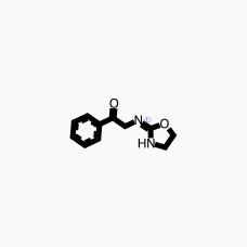 O=C(C/N=C1\NCCO1)c1ccccc1